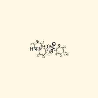 Cc1ccc(S(=O)(=O)Oc2cccc3c2CCCN3)cc1